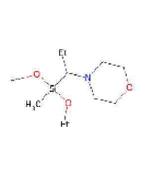 CCO[Si](C)(OCC)C(CC)N1CCOCC1